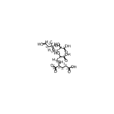 CC(O)C(=O)O.CC(O)C(=O)O.C[N+](C)(C)CCO.NC(CCC(=O)O)C(=O)[O-]